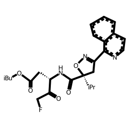 CCC(C)OC(=O)C[C@H](NC(=O)[C@]1(C(C)C)CC(c2nccc3ccccc23)=NO1)C(=O)CF